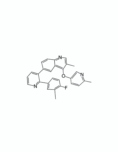 Cc1ccc(Oc2c(C)cnc3ccc(-c4cccnc4-c4ccc(F)c(C)c4)cc23)cn1